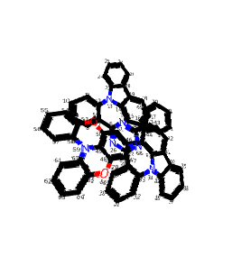 c1ccc(-c2nc(-c3ccccc3-n3c4ccccc4c4ccccc43)nc(-c3ccccc3-n3c4ccccc4c4cccc(-c5cc6c7c(c5)Oc5ccccc5N7c5ccccc5O6)c43)n2)cc1